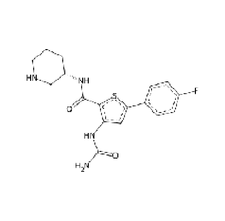 NC(=O)Nc1cc(-c2ccc(F)cc2)sc1C(=O)N[C@H]1CCCNC1